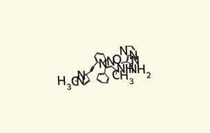 CC(NC(=O)c1c(N)nn2cccnc12)c1nc2cccc(C#Cc3ccn(C)n3)n2c1-c1ccccc1